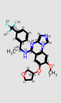 COc1cc2c(cc1O[C@H]1CCOC1)c(N[C@H](C)c1cccc(C(F)(F)F)c1)nc1cncn12